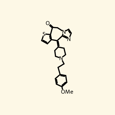 COc1ccc(CCN2CCC(=C3c4ccsc4C(=O)Cn4ccnc43)CC2)cc1